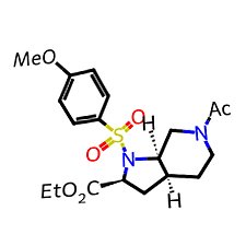 CCOC(=O)[C@@H]1C[C@@H]2CCN(C(C)=O)C[C@@H]2N1S(=O)(=O)c1ccc(OC)cc1